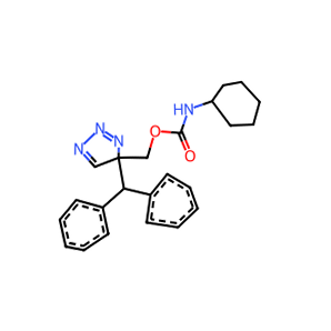 O=C(NC1CCCCC1)OCC1(C(c2ccccc2)c2ccccc2)C=NN=N1